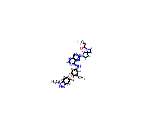 C=CC(=O)N1CCC12CCN(c1ncc3ncnc(Nc4ccc(Oc5ccc6c(c5)nnn6C)c(C)c4)c3n1)C2